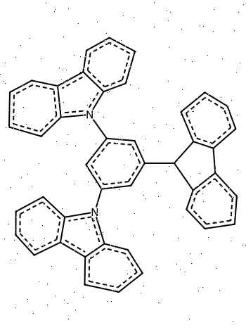 c1ccc2c(c1)-c1ccccc1C2c1cc(-n2c3ccccc3c3ccccc32)cc(-n2c3ccccc3c3ccccc32)c1